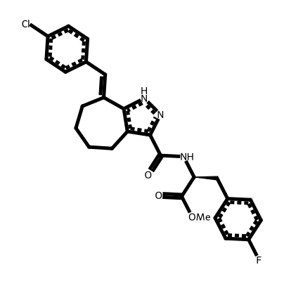 COC(=O)[C@H](Cc1ccc(F)cc1)NC(=O)c1n[nH]c2c1CCCC/C2=C\c1ccc(Cl)cc1